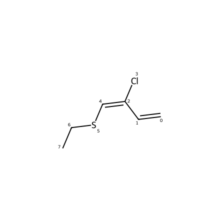 C=C/C(Cl)=C\SCC